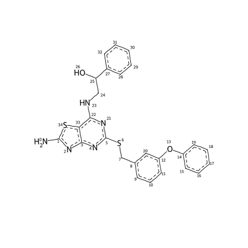 Nc1nc2nc(SCc3cccc(Oc4ccccc4)c3)nc(NCC(O)c3ccccc3)c2s1